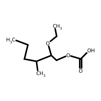 CCCC(C)C(COC(=O)O)OCC